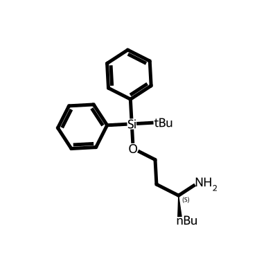 CCCC[C@H](N)CCO[Si](c1ccccc1)(c1ccccc1)C(C)(C)C